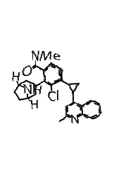 CNC(=O)c1ccc(C2CC2c2cc(C)nc3ccccc23)c(Cl)c1C1C[C@H]2CC[C@@H](C1)N2